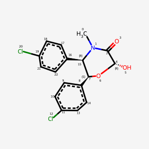 CN1C(=O)[C@H](O)O[C@@H](c2ccc(Cl)cc2)[C@H]1c1ccc(Cl)cc1